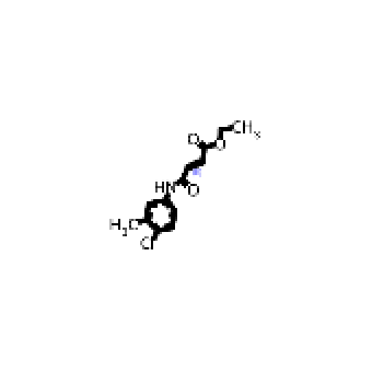 CCOC(=O)/C=C/C(=O)Nc1ccc(Cl)c(C)c1